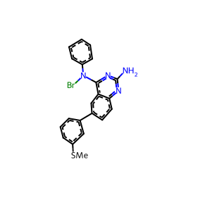 CSc1cccc(-c2ccc3nc(N)nc(N(Br)c4ccccc4)c3c2)c1